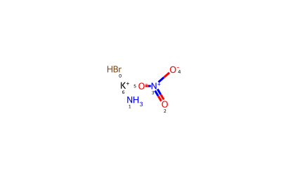 Br.N.O=[N+]([O-])[O-].[K+]